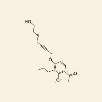 CCCc1c(OCC#CCSCCO)ccc(C(C)=O)c1O